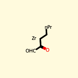 CCCCCC(=O)C=O.[Zr]